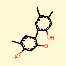 Cc1cc(O)c(-c2cc(C)c(O)cc2O)cc1C